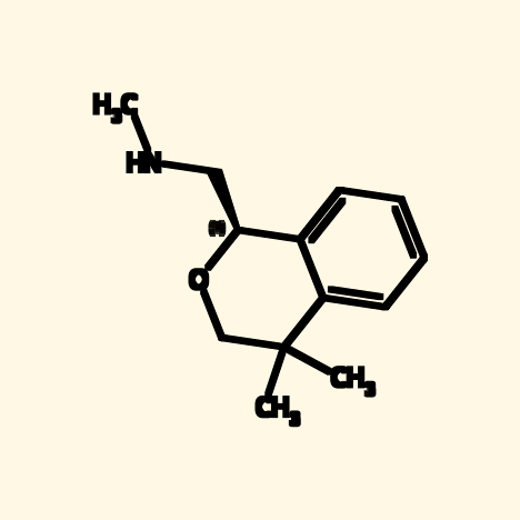 CNC[C@@H]1OCC(C)(C)c2ccccc21